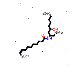 CCCCCCCC/C=C\CCCCCCCC(=O)NC(CNC)CC(O)CCCCCCCCCCCCCC